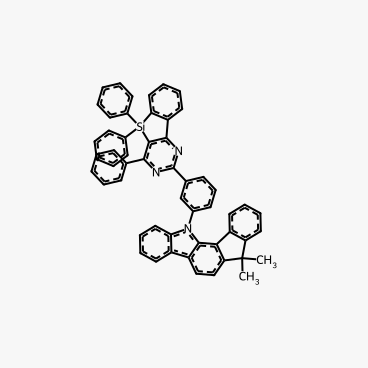 CC1(C)c2ccccc2-c2c1ccc1c3ccccc3n(-c3cccc(-c4nc(-c5ccccc5)c5c(n4)-c4ccccc4[Si]5(c4ccccc4)c4ccccc4)c3)c21